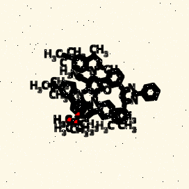 CC1=CC(C)c2cc(C(C)(C)C)ccc2N1c1c(C#N)c(-n2c3ccc(C(C)(C)C)cc3c3cc(C(C)(C)C)ccc32)c(-n2c3ccc(C(C)(C)C)cc3c3cc(C(C)(C)C)ccc32)c2oc3c(-c4cc(-c5ccccc5)nc(-c5ccccc5)n4)cccc3c12